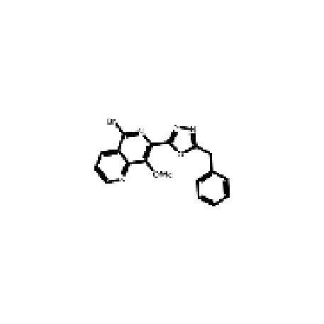 COc1c(-c2nnc(Cc3ccccc3)o2)nc(Br)c2cccnc12